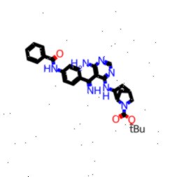 CC(C)(C)OC(=O)N1CC2CC(Nc3ncnc(N)c3C(=N)c3ccc(NC(=O)c4ccccc4)cc3)C1C2